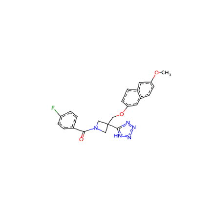 COc1ccc2cc(OCC3(c4nnn[nH]4)CN(C(=O)c4ccc(F)cc4)C3)ccc2c1